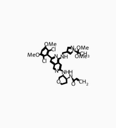 C=CC(=O)N[C@H]1CCOC[C@H]1Nc1cc2c(NCc3cnn(C(C)(OC)OC)c3)nc(-c3c(Cl)c(OC)cc(OC)c3Cl)cc2cn1